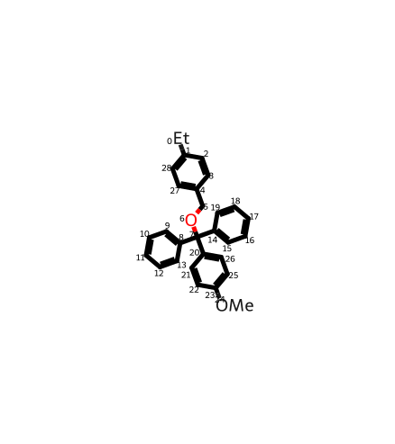 CCc1ccc(COC(c2ccccc2)(c2ccccc2)c2ccc(OC)cc2)cc1